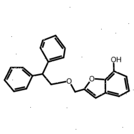 Oc1cccc2cc(COCC(c3ccccc3)c3ccccc3)oc12